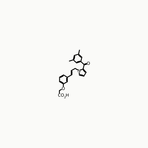 Cc1cc(C)cc(C(=O)c2cccn2C/C=C/c2cccc(OCC(=O)O)c2)c1